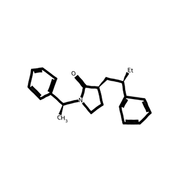 CC[C@H](C[C@H]1CCN([C@@H](C)c2ccccc2)C1=O)c1ccccc1